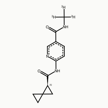 [2H]C([2H])([2H])NC(=O)c1ccc(NC(=O)[C@H]2CC23CC3)nc1